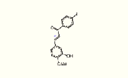 COc1ccc(/C=C/C(=O)c2ccc(I)cc2)cc1O